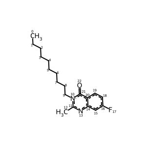 CCCCCCCCCCn1c(C)nc2cc(F)ccc2c1=O